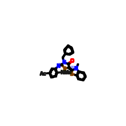 CNc1ccc(C(C)=O)cc1/N=C1\S/C(=C2\Sc3ccccc3N2C)C(=O)N1Cc1ccccc1